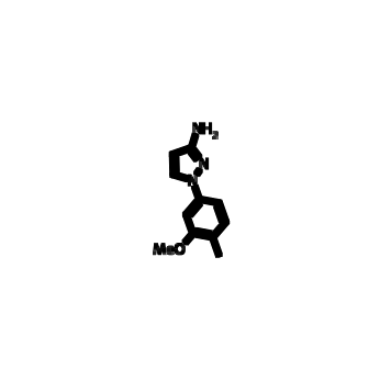 COc1cc(-n2ccc(N)n2)ccc1C